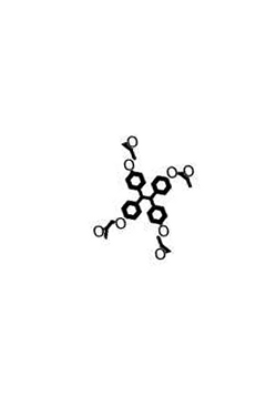 CC1OC1Oc1ccc(C(c2ccc(OCC3CO3)cc2)C(c2ccc(OCC3CO3)cc2)c2ccc(OCC3CO3)cc2)cc1